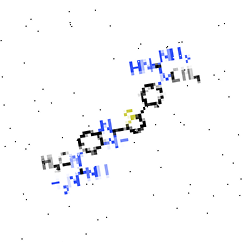 CN(C(=N)N)c1ccc(-c2ccc(-c3nc4ccc(N(C)C(=N)N)cc4[nH]3)s2)cc1